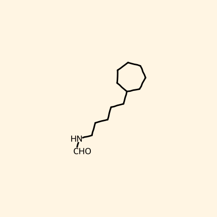 O=CNCCCCCC1CCCCCC1